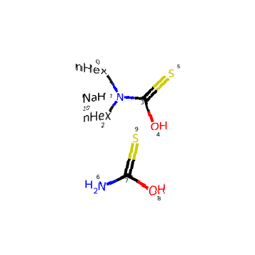 CCCCCCN(CCCCCC)C(O)=S.NC(O)=S.[NaH]